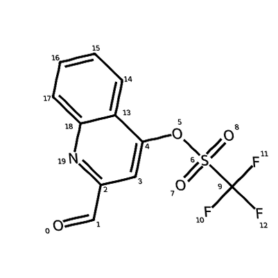 O=Cc1cc(OS(=O)(=O)C(F)(F)F)c2ccccc2n1